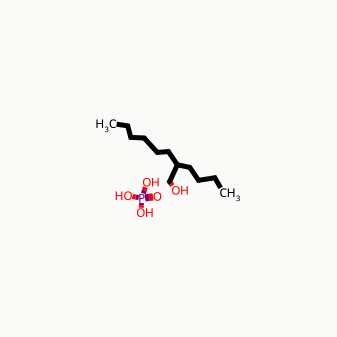 CCCCCCC(CO)CCCC.O=P(O)(O)O